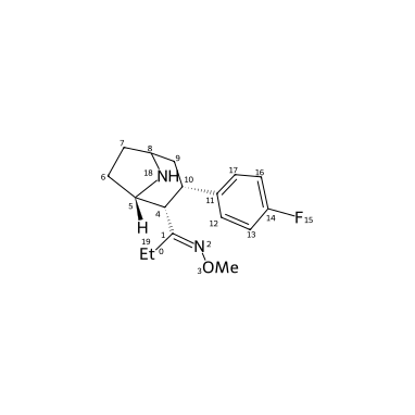 CCC(=NOC)[C@@H]1[C@@H]2CCC(C[C@@H]1c1ccc(F)cc1)N2